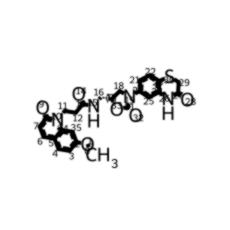 COc1ccc2ccc(=O)n(CCC(=O)NC[C@@H]3CN(c4ccc5c(c4)NC(=O)CS5)C(=O)O3)c2c1